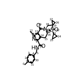 Cc1ccc(CNC(=O)c2nn(C)c3c2CCN(CC2(S(=O)(=O)C4CC4)CC2)C3=O)cc1